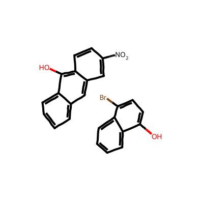 O=[N+]([O-])c1ccc2c(O)c3ccccc3cc2c1.Oc1ccc(Br)c2ccccc12